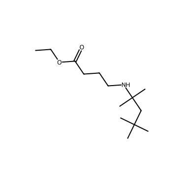 CCOC(=O)CCCNC(C)(C)CC(C)(C)C